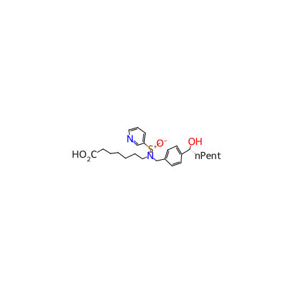 CCCCC[C@@H](O)c1ccc(CN(CCCCCCC(=O)O)[S+]([O-])c2cccnc2)cc1